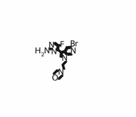 Nc1ncc(F)c(-c2cn(CCCN3CCOCC3)c3cnc(Br)cc23)n1